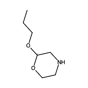 CCCO[C]1CNCCO1